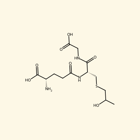 CC(O)CSC[C@H](NC(=O)CC[C@H](N)C(=O)O)C(=O)NCC(=O)O